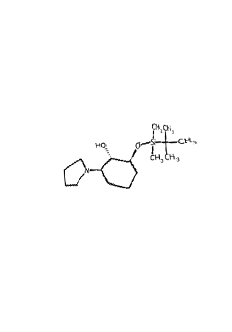 CC(C)(C)[Si](C)(C)O[C@H]1CCC[C@@H](N2CCCC2)[C@@H]1O